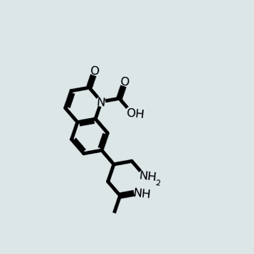 CC(=N)CC(CN)c1ccc2ccc(=O)n(C(=O)O)c2c1